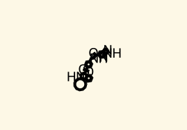 O=C(NCc1ccc(S(=O)(=O)C2CNC3(CCCCCCCCCC3)c3ccccc32)cc1)c1cnc2[nH]ncc2c1